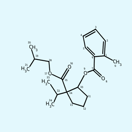 Cc1ccccc1C(=O)OC1CCCC1(C(=O)OCC(C)C)C(C)C